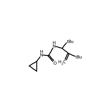 C=C(C(NC(=O)NC1CC1)C(C)(C)C)C(C)(C)C